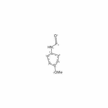 COc1ccc(NP=O)cc1